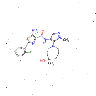 Cn1ncc(NC(=O)c2nc(-c3ccccc3F)sc2N)c1N1CCCC(C)(O)CC1